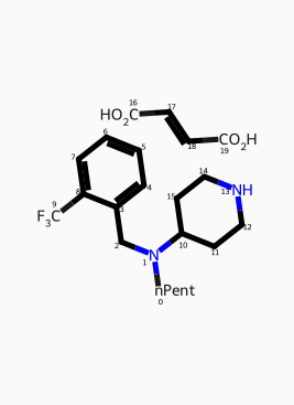 CCCCCN(Cc1ccccc1C(F)(F)F)C1CCNCC1.O=C(O)/C=C/C(=O)O